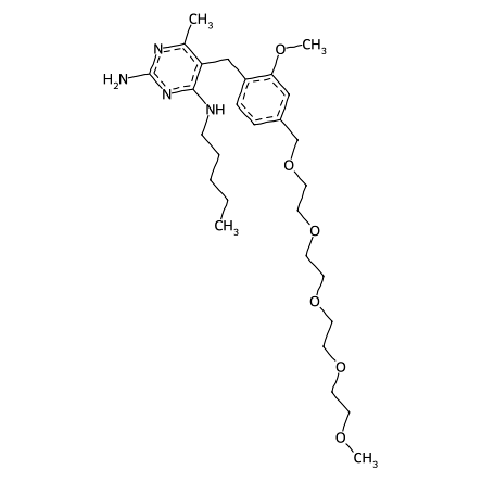 CCCCCNc1nc(N)nc(C)c1Cc1ccc(COCCOCCOCCOCCOC)cc1OC